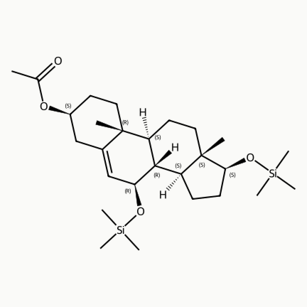 CC(=O)O[C@H]1CC[C@@]2(C)C(=C[C@H](O[Si](C)(C)C)[C@H]3[C@@H]4CC[C@H](O[Si](C)(C)C)[C@@]4(C)CC[C@@H]32)C1